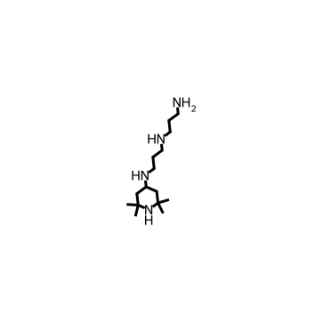 CC1(C)CC(NCCCNCCCN)CC(C)(C)N1